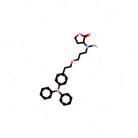 CN(CCCOCCc1ccc([S+](c2ccccc2)c2ccccc2)cc1)C1CCOC1=O